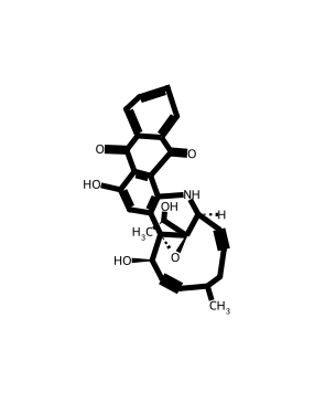 CC1C#C[C@@H](O)[C@]23O[C@@]2([C@H](C)O)[C@H](C#CC1)Nc1c3cc(O)c2c1C(=O)c1ccccc1C2=O